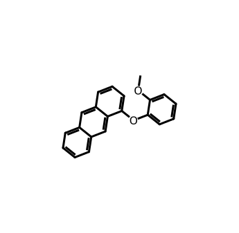 COc1ccccc1Oc1cccc2cc3ccccc3cc12